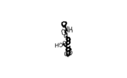 Cc1cc2c(cc1C(CC(=O)O)c1ccc3ccc(OCC(=O)NC4CCCCCC4)cc3c1)OCCO2